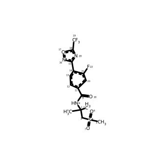 CC(C)(CS(C)(=O)=O)NC(=O)c1ccc(-c2noc(C(F)(F)F)n2)c(F)c1